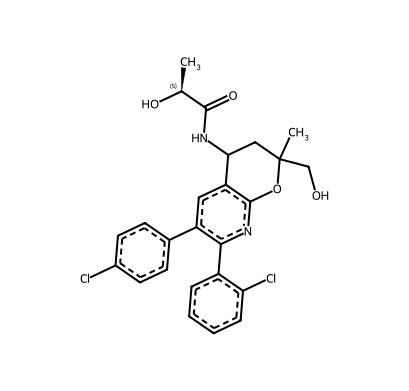 C[C@H](O)C(=O)NC1CC(C)(CO)Oc2nc(-c3ccccc3Cl)c(-c3ccc(Cl)cc3)cc21